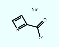 O=C([O-])C1=NC=C1.[Na+]